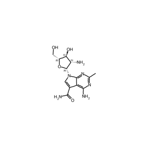 Cc1nc(N)c2c(C(N)=O)cn([C@@H]3O[C@H](CO)[C@@H](O)[C@@H]3N)c2n1